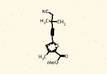 COC(=O)c1sc(C#CC(C)(C)CC#N)cc1C